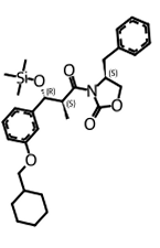 C[C@H](C(=O)N1C(=O)OC[C@@H]1Cc1ccccc1)[C@@H](O[Si](C)(C)C)c1cccc(OCC2CCCCC2)c1